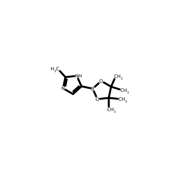 Cc1ncc(B2OC(C)(C)C(C)(C)O2)[nH]1